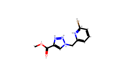 COC(=O)c1cn(Cc2cccc(Br)n2)nn1